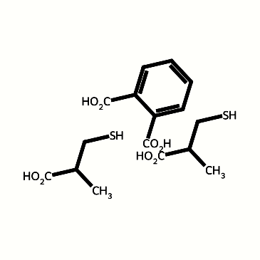 CC(CS)C(=O)O.CC(CS)C(=O)O.O=C(O)c1ccccc1C(=O)O